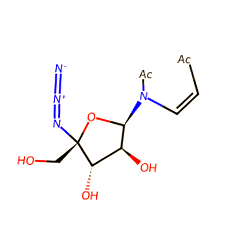 CC(=O)/C=C\N(C(C)=O)[C@@H]1O[C@@](CO)(N=[N+]=[N-])[C@@H](O)[C@@H]1O